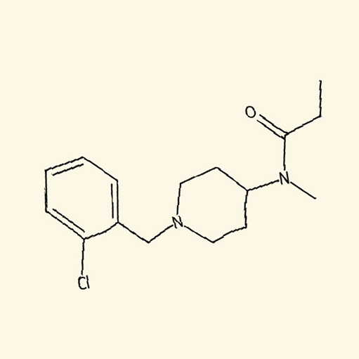 CCC(=O)N(C)C1CCN(Cc2ccccc2Cl)CC1